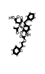 CC(=O)N(C(C=O)CC(=O)O)n1c(Cc2ccccc2)ccc(NC(=O)OCCc2ccccc2)c1=O